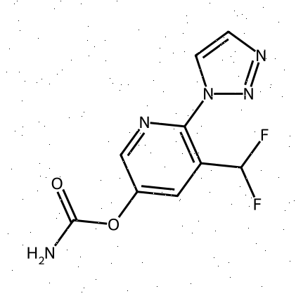 NC(=O)Oc1cnc(-n2ccnn2)c(C(F)F)c1